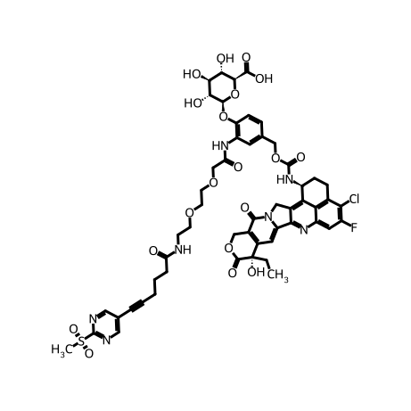 CC[C@@]1(O)C(=O)OCc2c1cc1n(c2=O)Cc2c-1nc1cc(F)c(Cl)c3c1c2[C@@H](NC(=O)OCc1ccc(O[C@@H]2O[C@H](C(=O)O)[C@@H](O)[C@H](O)[C@H]2O)c(NC(=O)COCCOCCNC(=O)CCCC#Cc2cnc(S(C)(=O)=O)nc2)c1)CC3